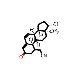 CC[C@H]1CC[C@H]2[C@@H]3C=CC4=CC(=O)CC(CC#N)[C@]4(C)[C@H]3CC[C@]12C